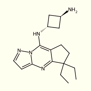 CCC1(CC)CCc2c1nc1ccnn1c2N[C@H]1C[C@H](N)C1